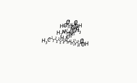 CCCCCCCCCCCCCCCCCC(=O)O.CCN(CC)CCCN.N[C@@H](CCC(=O)O)C(=O)O